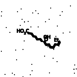 CC/C=C\C/C=C\C=C\[C@H](CCCCCCCC(=O)O)OO